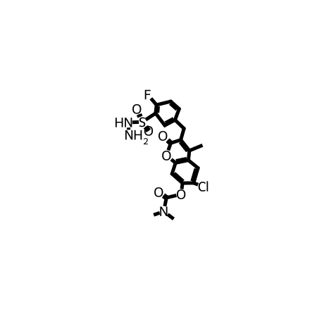 Cc1c(Cc2ccc(F)c(S(=O)(=O)NN)c2)c(=O)oc2cc(OC(=O)N(C)C)c(Cl)cc12